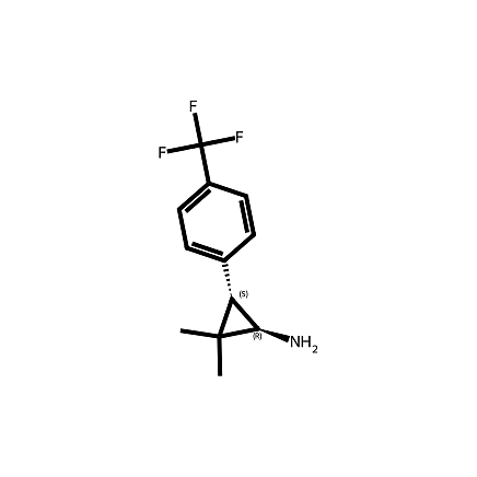 CC1(C)[C@H](N)[C@H]1c1ccc(C(F)(F)F)cc1